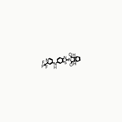 O=C1[C@@H]2C3C=CC(C3)[C@@H]2C(=O)N1c1nc2ccc(Nc3ccnc(C(F)(F)F)c3)cc2s1